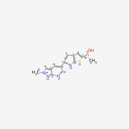 C[C@@H](O)c1cc2ccc(-c3cnc4nn(C)cc4c3)nc2s1